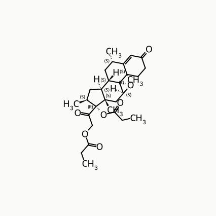 CCC(=O)OCC(=O)[C@@]1(OC(=O)CC)[C@@H](C)C[C@H]2[C@@H]3C[C@H](C)C4=CC(=O)CC[C@]4(C)[C@]34O[C@H]4C[C@@]21C